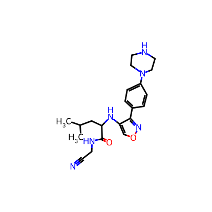 CC(C)CC(Nc1conc1-c1ccc(N2CCNCC2)cc1)C(=O)NCC#N